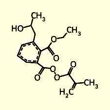 C=C(C)C(=O)OOC(=O)c1cccc(CC(C)O)c1C(=O)OCC